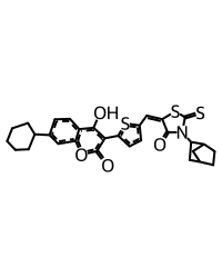 O=C1/C(=C\c2ccc(-c3c(O)c4ccc(C5CCCCC5)cc4oc3=O)s2)SC(=S)N1C1CC2CCC1C2